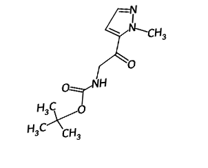 Cn1nccc1C(=O)CNC(=O)OC(C)(C)C